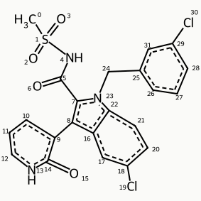 CS(=O)(=O)NC(=O)c1c(-c2ccc[nH]c2=O)c2cc(Cl)ccc2n1Cc1cccc(Cl)c1